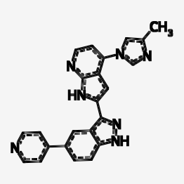 Cc1cn(-c2ccnc3[nH]c(-c4n[nH]c5ccc(-c6ccncc6)cc45)cc23)cn1